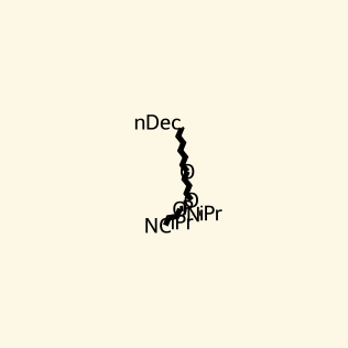 CCCCCCCCCCCCCCCCOCCCOP(OCCC#N)N(C(C)C)C(C)C